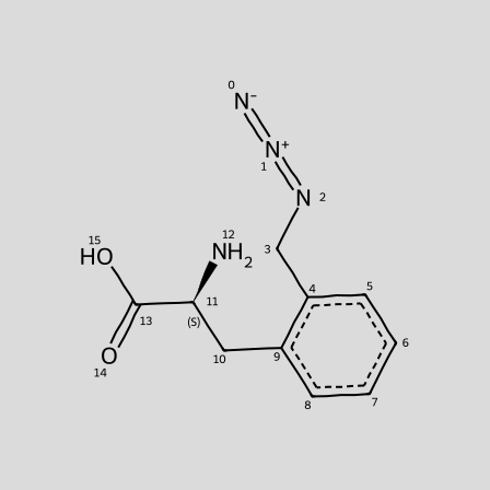 [N-]=[N+]=NCc1ccccc1C[C@H](N)C(=O)O